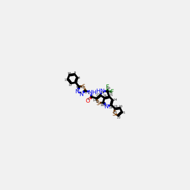 O=C(Nc1nnc(-c2ccccc2)s1)c1sc2nc(-c3cccs3)cc3c2c1NC3(F)F